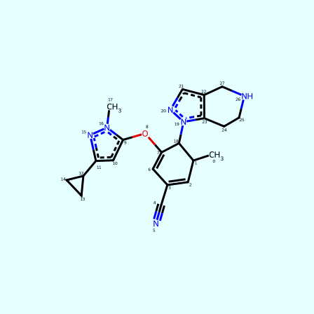 CC1C=C(C#N)C=C(Oc2cc(C3CC3)nn2C)C1n1ncc2c1CCNC2